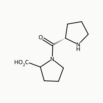 O=C(O)C1CCCN1C(=O)[C@@H]1CCCN1